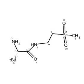 CC(C)(C)[C@H](N)C(=O)NCCS(C)(=O)=O